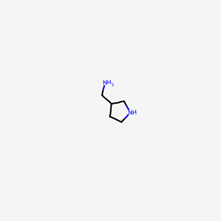 NCC1CCNC1